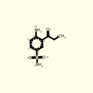 CCC(=O)c1cc(S(N)(=O)=O)ccc1N